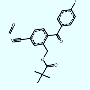 C=O.CC(C)(C)C(=O)OCc1cc(C#N)ccc1C(=O)c1ccc(F)cc1